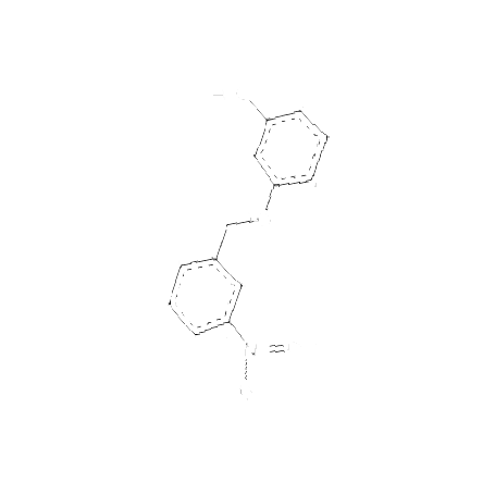 Cc1cccc(OCc2cccc([N+](=O)[O-])c2)c1